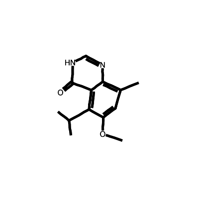 COc1cc(C)c2nc[nH]c(=O)c2c1C(C)C